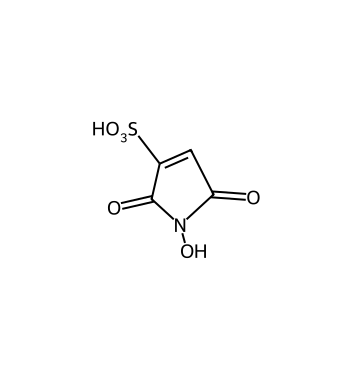 O=C1C=C(S(=O)(=O)O)C(=O)N1O